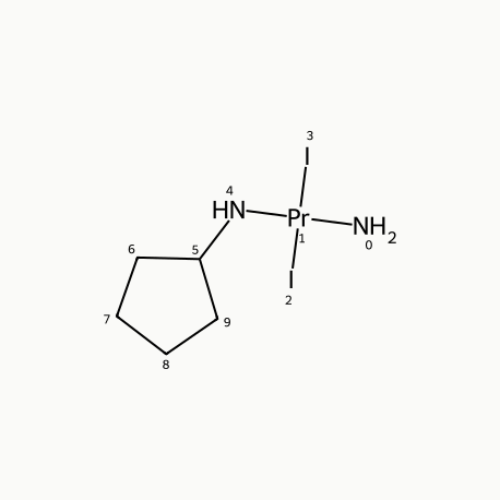 [NH2][Pr]([I])([I])[NH]C1CCCC1